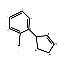 Fc1ccccc1C1C=CCC1